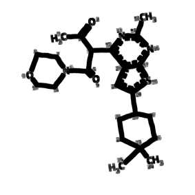 CC(=O)C(C(=O)N1CCOCC1)c1nc(C)nc2sc(C3CCC(C)(C)CC3)cc12